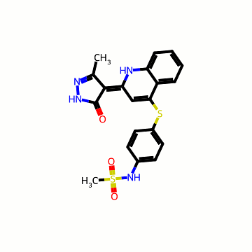 CC1=NNC(=O)C1=C1C=C(Sc2ccc(NS(C)(=O)=O)cc2)c2ccccc2N1